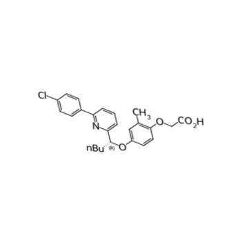 CCCC[C@@H](Oc1ccc(OCC(=O)O)c(C)c1)c1cccc(-c2ccc(Cl)cc2)n1